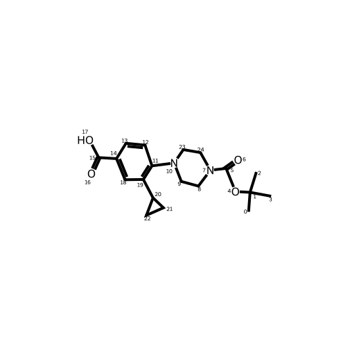 CC(C)(C)OC(=O)N1CCN(c2ccc(C(=O)O)cc2C2CC2)CC1